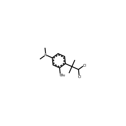 CN(C)c1ccc(C(C)(C)C(Cl)Cl)c(C(C)(C)C)c1